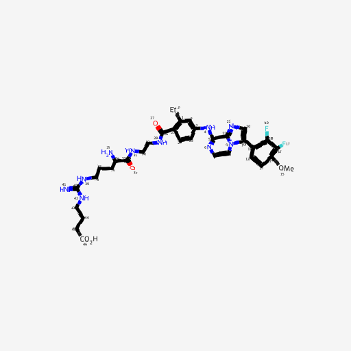 CCc1cc(Nc2nccn3c(-c4ccc(OC)c(F)c4F)cnc23)ccc1C(=O)NCCNC(=O)C(N)CCCNC(=N)NCCCC(=O)O